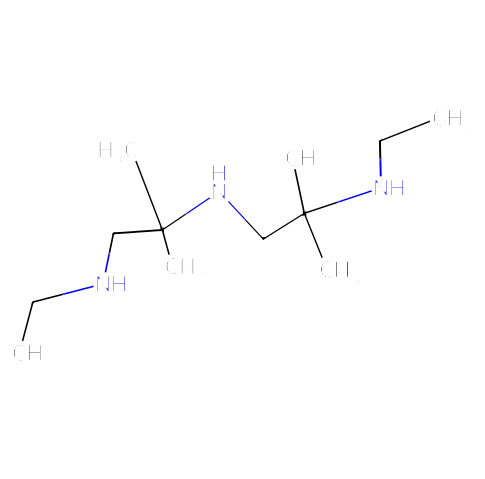 CCNCC(C)(C)NCC(C)(C)NCC